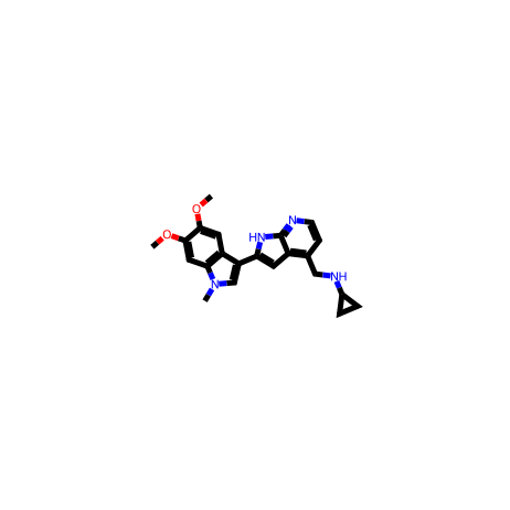 COc1cc2c(-c3cc4c(CNC5CC5)ccnc4[nH]3)cn(C)c2cc1OC